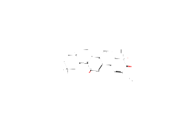 CC1(C)CC[C@]2(C(=O)O)CC[C@]3(C)[C@H](C(=O)C=C4[C@@]5(C)C=C(C#N)C(=O)[C@@](C)(O)[C@@H]5CC[C@]43C)[C@@H]2C1